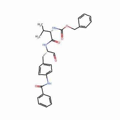 CC(C)[C@H](NC(=O)OCc1ccccc1)C(=O)N[C@H](C=O)Cc1ccc(NC(=O)c2ccccc2)cc1